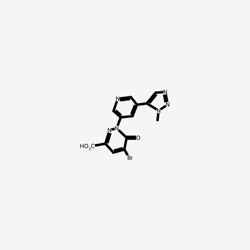 Cn1nncc1-c1cncc(-n2nc(C(=O)O)cc(Br)c2=O)c1